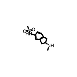 CNC1Cc2ccc(NS(C)(=O)=O)cc2C1